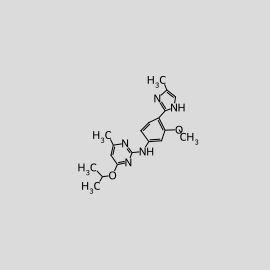 COc1cc(Nc2nc(C)cc(OC(C)C)n2)ccc1-c1nc(C)c[nH]1